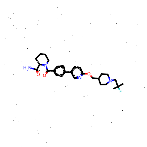 CC(C)(F)CN1CCC(COc2ccc(-c3ccc(C(=O)N4CCCCC4C(N)=O)cc3)cn2)CC1